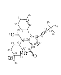 CC1=CC[C@H](C(=O)N(c2cc(C#CC(C)(C)C)sc2C(=O)O)C2CCC3(CC2)CO3)CC1